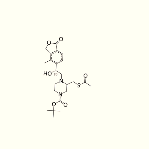 CC(=O)SCC1CN(C(=O)OC(C)(C)C)CCN1C[C@H](O)c1ccc2c(c1C)COC2=O